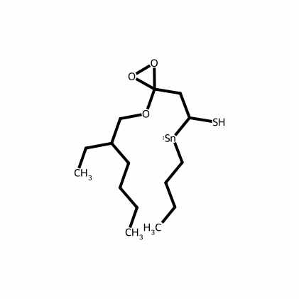 CCC[CH2][Sn][CH](S)CC1(OCC(CC)CCCC)OO1